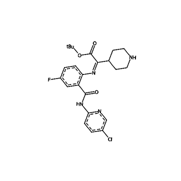 CC(C)(C)OC(=O)C(=Nc1ccc(F)cc1C(=O)Nc1ccc(Cl)cn1)C1CCNCC1